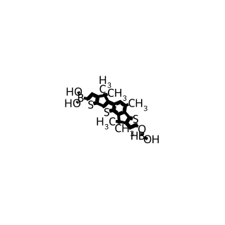 Cc1cc2c3c(sc2c2c1-c1sc(OBO)cc1C2(C)C)-c1sc(B(O)O)cc1C3(C)C